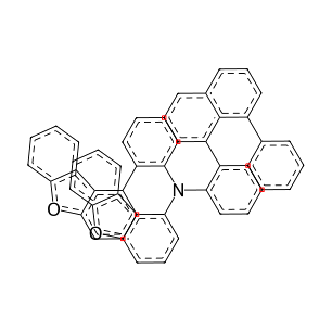 c1ccc(-c2cccc3cccc(-c4ccccc4N(c4ccccc4-c4cccc5oc6ccccc6c45)c4cccc5oc6ccccc6c45)c23)cc1